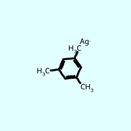 Cc1cc(C)cc(C)c1.[Ag]